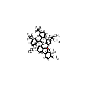 CCC1C=C(C(C)(C)C)C=[C]1[Zr+2](=[C](c1cccc(C(F)(F)F)c1)c1cccc(C(F)(F)F)c1)[c]1c(C)ccc2c1Cc1cc(C)ccc1-2.[Cl-].[Cl-]